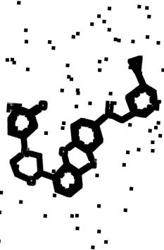 O=c1cc(N2CCOC(c3cccc4c3Oc3ccc(NCc5cncc(C6CC6)c5)cc3S4)C2)cc[nH]1